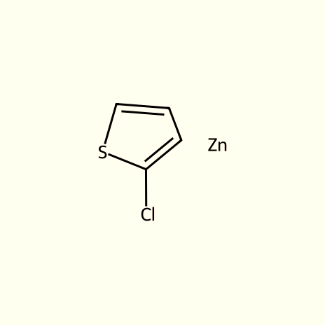 Clc1cccs1.[Zn]